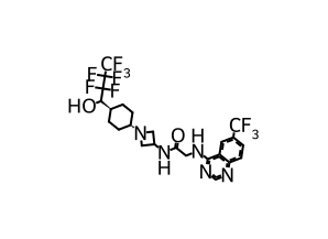 O=C(CNc1ncnc2ccc(C(F)(F)F)cc12)NC1CN([C@H]2CC[C@H](C(O)C(F)(F)C(F)(F)C(F)(F)F)CC2)C1